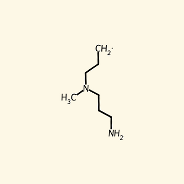 [CH2]CCN(C)CCCN